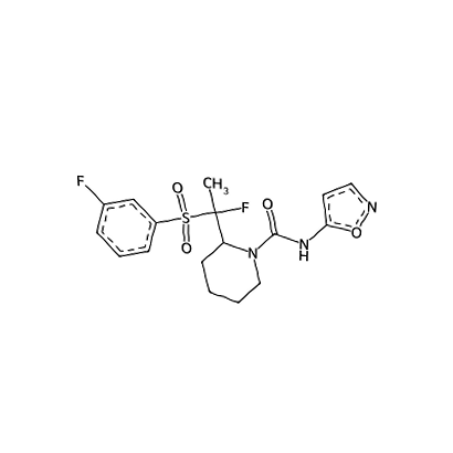 CC(F)(C1CCCCN1C(=O)Nc1ccno1)S(=O)(=O)c1cccc(F)c1